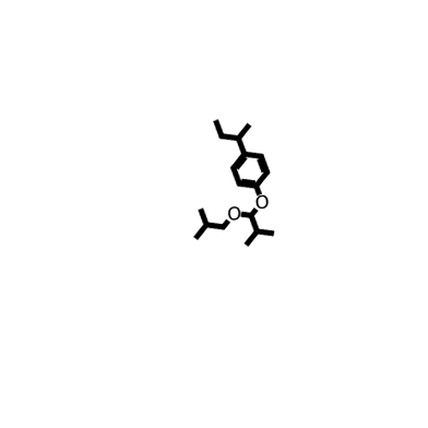 CCC(C)c1ccc(OC(OCC(C)C)C(C)C)cc1